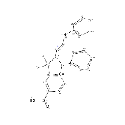 CC1(C)c2cc(S(=O)O)ccc2N(c2ccccc2)C1/C=C/Nc1ccccc1